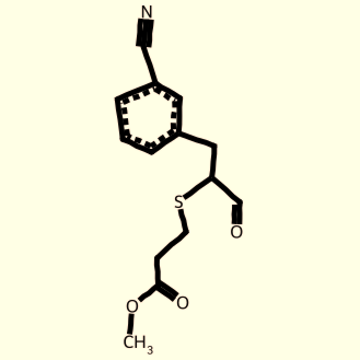 COC(=O)CCSC(C=O)Cc1cccc(C#N)c1